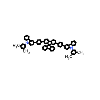 Cc1cc(C)cc(-n2c3c(c4ccccc42)=CC(c2ccc(-c4ccc5c(c4)C4(c6ccccc6-c6ccccc64)c4cc(-c6ccc(-c7ccc8c(c7)c7ccccc7n8-c7cc(C)cc(C)c7)cc6)ccc4-5)cc2)CC=3)c1